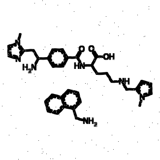 Cn1cccc1CNCCCC(NC(=O)c1ccc(C(N)Cc2nccn2C)cc1)C(=O)O.NCc1cccc2ccccc12